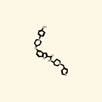 O=C(NC1CCN(Cc2ccncc2)CC1)c1cc2cc(OC3CCN(c4ccc(O)cc4)CC3)ccc2o1